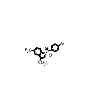 O=C(O)c1cn(S(=O)(=O)c2ccc(Br)cc2)c2ccc(C(F)(F)F)cc12